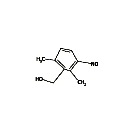 Cc1ccc(N=O)c(C)c1CO